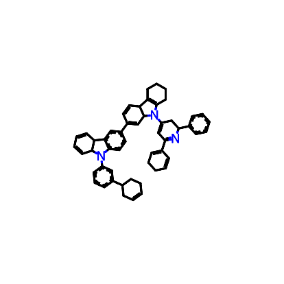 C1=CC2c3cc(C4=CC5C(C=C4)C4=C(CCCC4)N5C4=CC(C5=CCCC=C5)=NC(c5ccccc5)C4)ccc3N(c3cccc(C4CC=CCC4)c3)C2C=C1